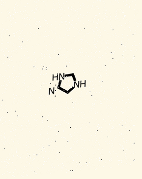 C1CNCN1.[N]